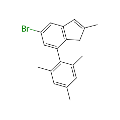 CC1=Cc2cc(Br)cc(-c3c(C)cc(C)cc3C)c2C1